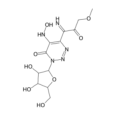 COCC(=O)C(=N)c1nnn(C2OC(CO)C(O)C2O)c(=O)c1NO